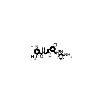 Cc1ccc(N)cc1C(=O)NCc1cc2cc(Cl)cc(Cn3cnc4c(N)ncnc43)c2[nH]1